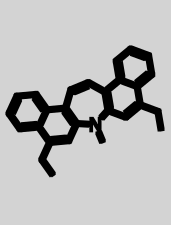 CCc1cc2c(c3ccccc13)C=Cc1c(cc(CC)c3ccccc13)N2C